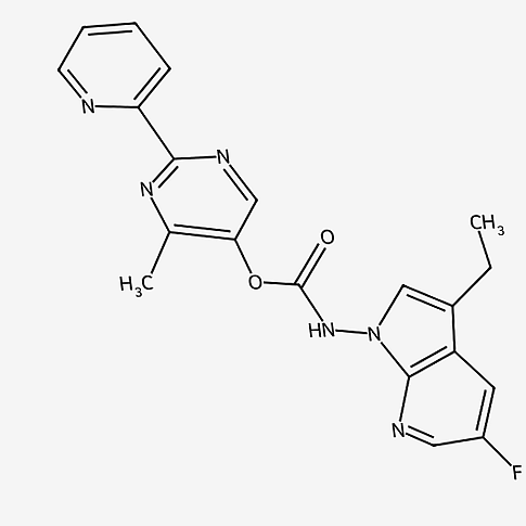 CCc1cn(NC(=O)Oc2cnc(-c3ccccn3)nc2C)c2ncc(F)cc12